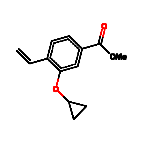 C=Cc1ccc(C(=O)OC)cc1OC1CC1